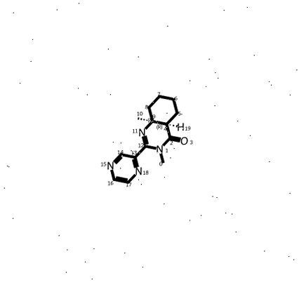 CN1C(=O)[C@@H]2CCCC[C@]2(C)N=C1c1cnccn1